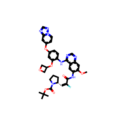 COc1cc2ncnc(Nc3ccc(Oc4ccn5ncnc5c4)cc3OC3COC3)c2cc1NC(=O)/C(F)=C\[C@H]1CCCN1C(=O)OC(C)(C)C